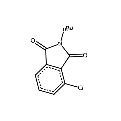 CCCCN1C(=O)c2cccc(Cl)c2C1=O